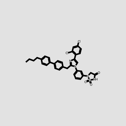 CCCCc1ccc(-c2ccc(Cc3nc(-c4ccc(Cl)cc4Cl)cn3-c3cccc(N4CC(=O)NS4(=O)=O)c3)cc2)cc1